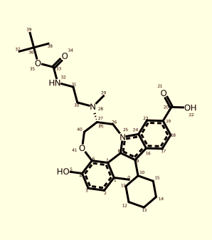 Cc1ccc(O)c2c1-c1c(C3CCCCC3)c3ccc(C(=O)O)cc3n1C[C@@H](N(C)CCNC(=O)OC(C)(C)C)CO2